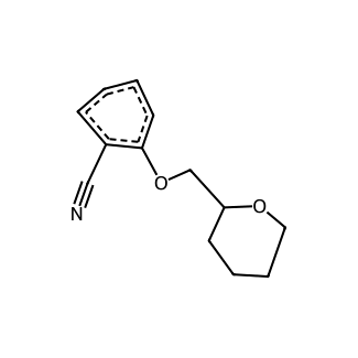 N#Cc1ccccc1OCC1CCCCO1